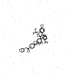 CC(C)c1ccnn1C1(C(=O)Nc2ccc(Cl)cc2OC(F)F)CCN(CC2(C(=O)O)CCN(C(=O)C[C@H]3CCOC3)CC2)CC1